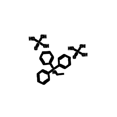 CC[PH](c1ccccc1)(c1ccccc1)c1ccccc1.O=P(O)(O)O.O=P(O)(O)O